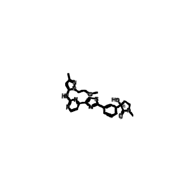 COCCn1nc(C)cc1Nc1nccc(-c2csc(-c3cccc([C@]4(O)CCN(C)C4=O)c3)n2)n1